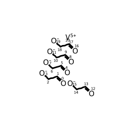 O=CC[O-].O=CC[O-].O=CC[O-].O=CC[O-].O=CC[O-].[V+5]